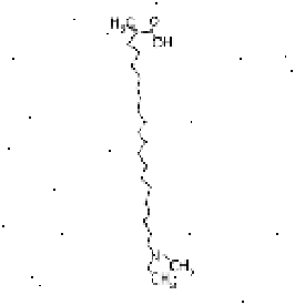 C=C(CCCCCCCCCCCCCCCCCCCN(CC)CC)C(=O)O